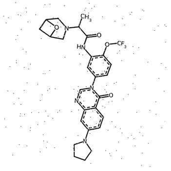 CC(C(=O)Nc1cc(-n2cnc3cc(N4CCCC4)ccc3c2=O)ccc1OC(F)(F)F)N1CC2CC(C1)O2